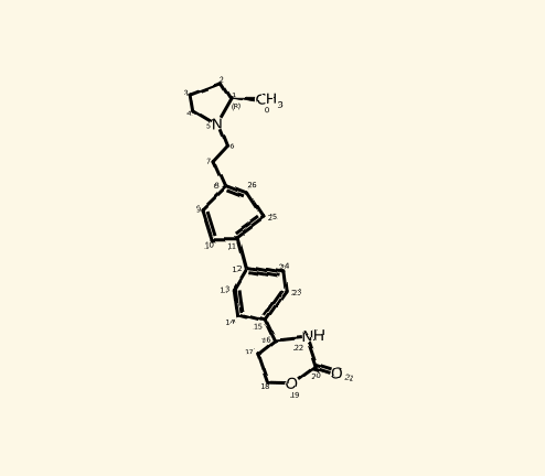 C[C@@H]1CCCN1CCc1ccc(-c2ccc(C3CCOC(=O)N3)cc2)cc1